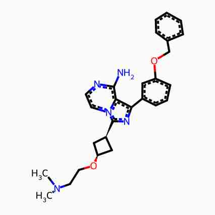 CN(C)CCO[C@H]1C[C@@H](c2nc(-c3cccc(OCc4ccccc4)c3)c3c(N)nccn32)C1